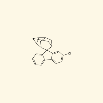 Clc1ccc2c(c1)C1(c3ccccc3-2)C2CC3CC1C1C(C2)C31